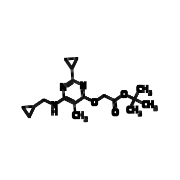 Cc1c(NCC2CC2)nc(C2CC2)nc1OCC(=O)OC(C)(C)C